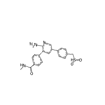 CNC(=O)c1ccc(-c2cc(-c3ccc(C[SH](=O)=O)cc3)cnc2N)cc1